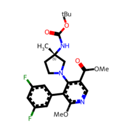 COC(=O)c1cnc(OC)c(-c2cc(F)cc(F)c2)c1N1CC[C@](C)(NC(=O)OC(C)(C)C)C1